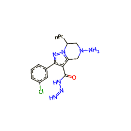 CCCC1CN(N)Cc2c(C(=O)NN=N)c(-c3cccc(Cl)c3)nn21